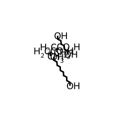 C=C(C)C(=O)O.C=C(C)C(=O)O.OCCCCCCCCCCO.OCCCCCCO